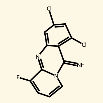 N=c1c2c(Cl)cc(Cl)cc2nc2c(F)cccn12